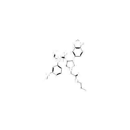 CCCNC(=O)CN1C[C@H](c2ccc3c(c2)OCO3)[C@H](C(=O)O)[C@H]1c1ccc(OC)cc1NC=O